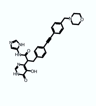 O=C(Nc1cnc[nH]1)C(Cc1ccc(C#Cc2ccc(CN3CCOCC3)cc2)cc1)c1nc[nH]c(=O)c1O